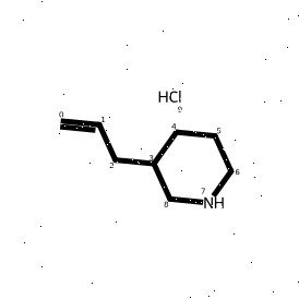 C=CCC1CCCNC1.Cl